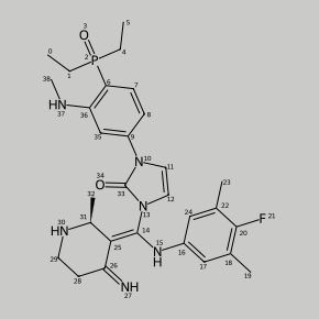 CCP(=O)(CC)c1ccc(-n2ccn(/C(Nc3cc(C)c(F)c(C)c3)=C3/C(=N)CCN[C@H]3C)c2=O)cc1NC